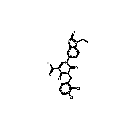 CCn1c(=O)oc2cc(N3C=C(C(=O)O)C(=O)C(Cc4cccc(Cl)c4Cl)C3=O)ccc21